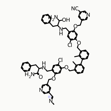 C/N=C/c1cncc(COc2cc(OCc3cccc(-c4cccc(COc5cc(OCc6cncc(C#N)c6)c(CNC(Cc6ccccc6)C(N)O)cc5Cl)c4C)c3C)c(Cl)cc2CNC(Cc2ccccc2)C(N)=O)c1